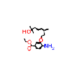 CC(CC=O)CCCC(C)(C)O.CCOC(=O)c1ccc(N)cc1